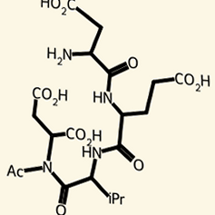 CC(=O)N(C(=O)C(NC(=O)C(CCC(=O)O)NC(=O)C(N)CC(=O)O)C(C)C)C(CC(=O)O)C(=O)O